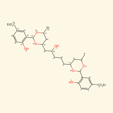 CCOC(=O)c1ccc(O)c(C2OC(C)CC(CCCC(O)CC3CC(CC)OC(c4cc(C(=O)OCC)ccc4O)O3)O2)c1